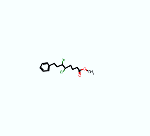 COC(=O)CCC[C@@H](Br)[C@H](Br)CCc1ccccc1